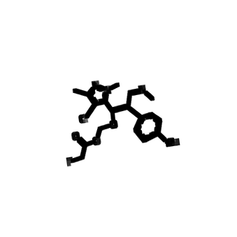 C/N=C\C(=C(\OCOC(=O)CF)c1c(Cl)c(C)nn1C)c1ccc(C(C)(C)C)cc1